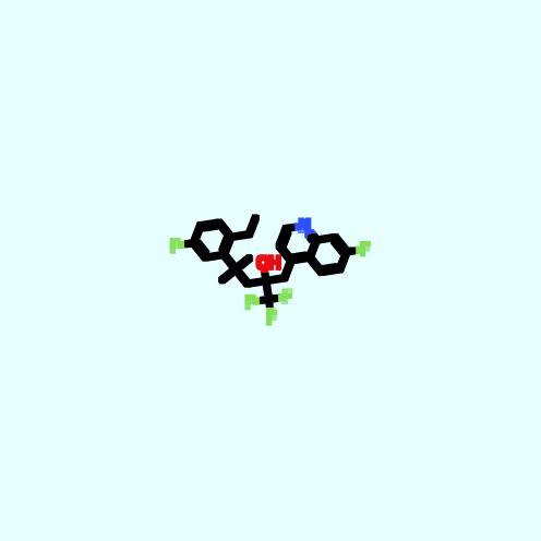 CCc1ccc(F)cc1C(C)(C)CC(O)(Cc1ccnc2cc(F)ccc12)C(F)(F)F